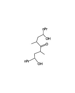 CCCC(O)CC(C)C(=O)C(C)CC(O)CCC